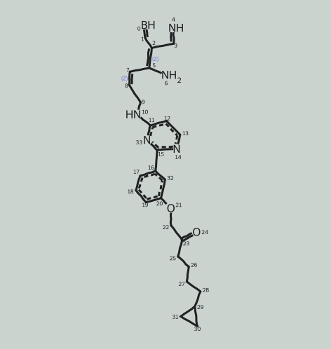 B=C/C(C=N)=C(N)\C=C/CNc1ccnc(-c2cccc(OCC(=O)CCCCC3CC3)c2)n1